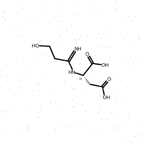 N=C(CCO)N[C@@H](CC(=O)O)C(=O)O